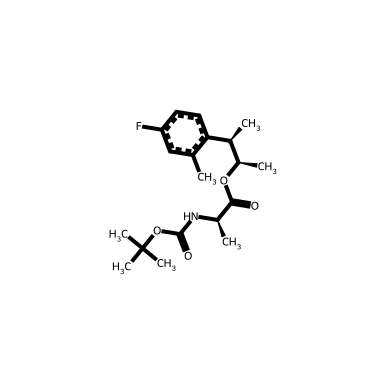 Cc1cc(F)ccc1[C@@H](C)[C@@H](C)OC(=O)[C@@H](C)NC(=O)OC(C)(C)C